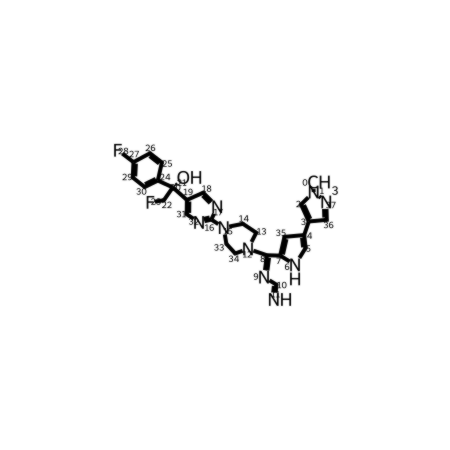 Cn1cc(-c2c[nH]c(/C(=N\C=N)N3CCN(c4ncc([C@@](O)(CF)c5ccc(F)cc5)cn4)CC3)c2)cn1